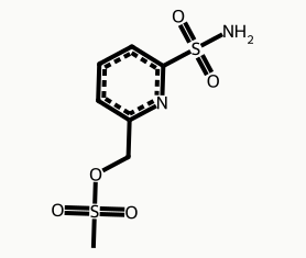 CS(=O)(=O)OCc1cccc(S(N)(=O)=O)n1